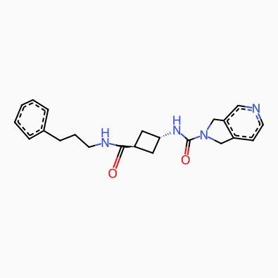 O=C(N[C@H]1C[C@H](C(=O)NCCCc2ccccc2)C1)N1Cc2ccncc2C1